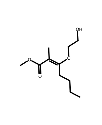 CCCCC(OCCO)=C(C)C(=O)OC